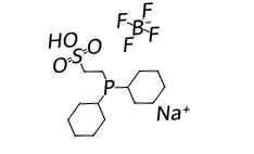 F[B-](F)(F)F.O=S(=O)(O)CCP(C1CCCCC1)C1CCCCC1.[Na+]